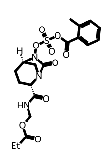 CCC(=O)OCNC(=O)[C@@H]1CC[C@@H]2CN1C(=O)N2OS(=O)(=O)OC(=O)c1ccccc1C